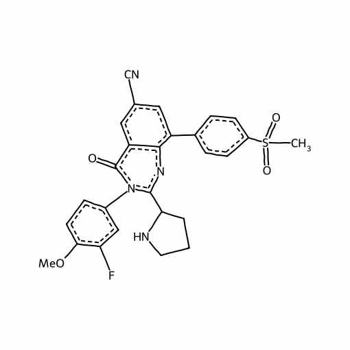 COc1ccc(-n2c(C3CCCN3)nc3c(-c4ccc(S(C)(=O)=O)cc4)cc(C#N)cc3c2=O)cc1F